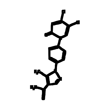 NC(=O)c1cnn(-c2ccc(-n3cc(Cl)c(Cl)cc3=O)cc2)c1C(F)(F)F